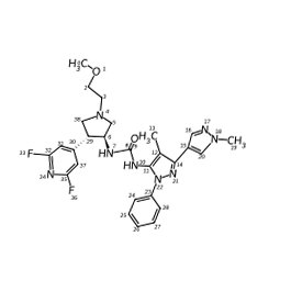 COCCN1C[C@@H](NC(=O)Nc2c(C)c(-c3cnn(C)c3)nn2-c2ccccc2)[C@H](c2cc(F)nc(F)c2)C1